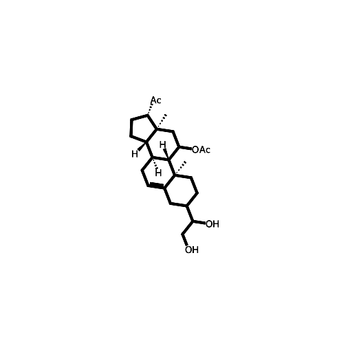 CC(=O)OC1C[C@]2(C)[C@@H](C(C)=O)CC[C@H]2[C@@H]2CC=C3CC(C(O)CO)CC[C@]3(C)[C@@H]12